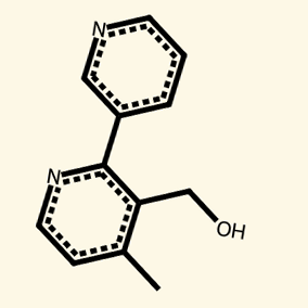 Cc1ccnc(-c2cccnc2)c1CO